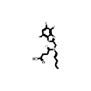 CCCC=CN(Cc1nc2c(F)c(F)cc(F)c2s1)C(=O)CCC(=O)O